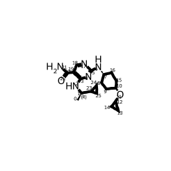 C[C@@H](Nc1nc(N[C@H]2CC[C@H](OC3CC3)CC2)ncc1C(N)=O)C1CC1